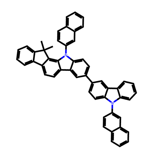 CC1(C)c2ccccc2-c2ccc3c4cc(-c5ccc6c(c5)c5ccccc5n6-c5ccc6ccccc6c5)ccc4n(-c4ccc5ccccc5c4)c3c21